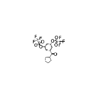 O=C(c1cc(OS(=O)(=O)C(F)(F)F)cc(OS(=O)(=O)C(F)(F)F)c1)C1CCCC1